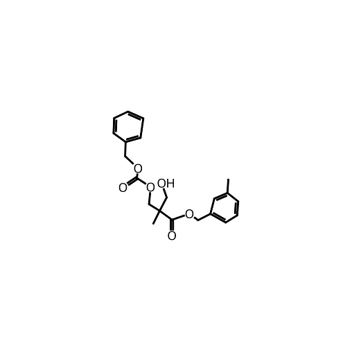 Cc1cccc(COC(=O)C(C)(CO)COC(=O)OCc2ccccc2)c1